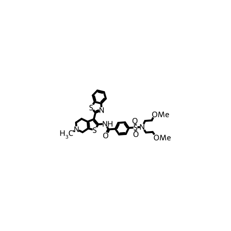 COCCN(CCOC)S(=O)(=O)c1ccc(C(=O)Nc2sc3c(c2-c2nc4ccccc4s2)CCN(C)C3)cc1